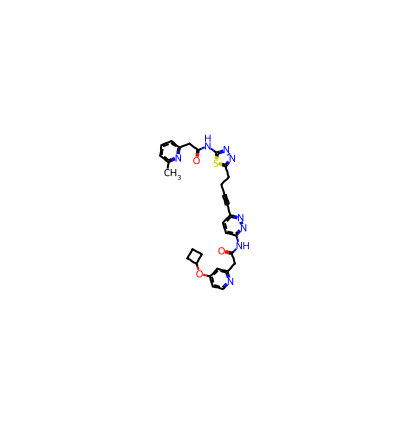 Cc1cccc(CC(=O)Nc2nnc(CCC#Cc3ccc(NC(=O)Cc4cc(OC5CCC5)ccn4)nn3)s2)n1